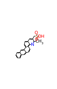 Cc1nc2c(ccc3c4cc5ccccc5cc4ccc32)cc1CS(=O)(=O)O